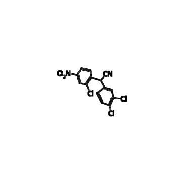 N#CC(c1ccc(Cl)c(Cl)c1)c1ccc([N+](=O)[O-])cc1Cl